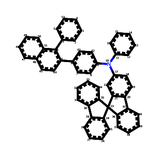 c1ccc(-c2c(-c3ccc(N(c4ccccc4)c4ccc5c(c4)C4(c6ccccc6-c6ccccc64)c4ccccc4-5)cc3)ccc3ccccc23)cc1